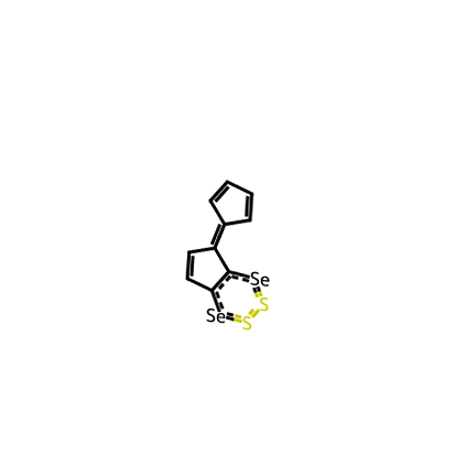 C1=CC(=C2C=Cc3[se]ss[se]c32)C=C1